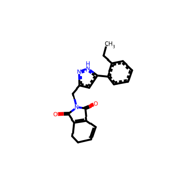 CCc1ccccc1-c1cc(CN2C(=O)C3=C(CCC=C3)C2=O)n[nH]1